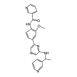 COc1cc(-c2cncc(NC(C)c3cccnc3)n2)ccc1NC(=O)c1cccnc1